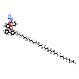 CCCCCCCCCCCCCCCCCCCCCCOCCCCCCCCCCCCOc1ccc2c(c1)C(OC(=O)[C@@H]1CCCN1C(=O)CN)(c1cccc(F)c1)c1ccccc1-2